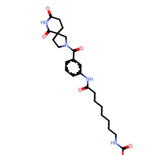 O=C(O)NCCCCCCCC(=O)Nc1cccc(C(=O)N2CCC3(CCC(=O)NC3=O)C2)c1